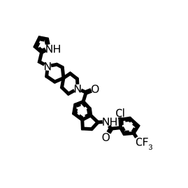 O=C(NC1CCc2ccc(C(=O)N3CCC4(CCN(Cc5ccc[nH]5)CC4)CC3)cc21)c1cc(C(F)(F)F)ccc1Cl